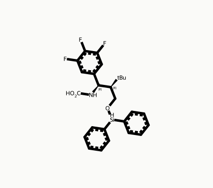 CC(C)(C)[C@@H](CO[SiH](c1ccccc1)c1ccccc1)[C@@H](NC(=O)O)c1cc(F)c(F)c(F)c1